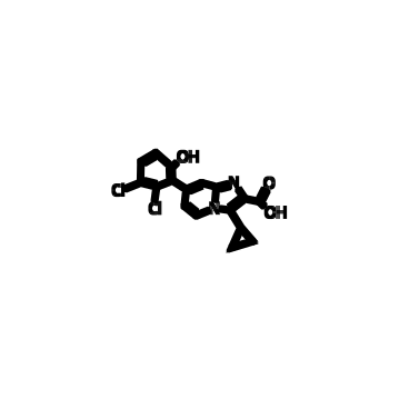 O=C(O)c1nc2cc(-c3c(O)ccc(Cl)c3Cl)ccn2c1C1CC1